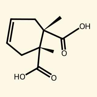 C[C@@]1(C(=O)O)CC=CC[C@]1(C)C(=O)O